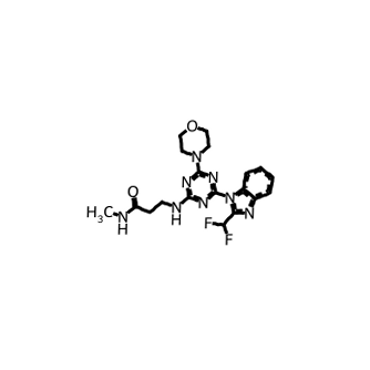 CNC(=O)CCNc1nc(N2CCOCC2)nc(-n2c(C(F)F)nc3ccccc32)n1